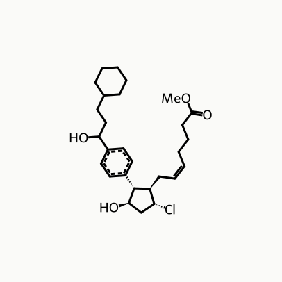 COC(=O)CCC/C=C\C[C@@H]1[C@@H](c2ccc(C(O)CCC3CCCCC3)cc2)[C@H](O)C[C@H]1Cl